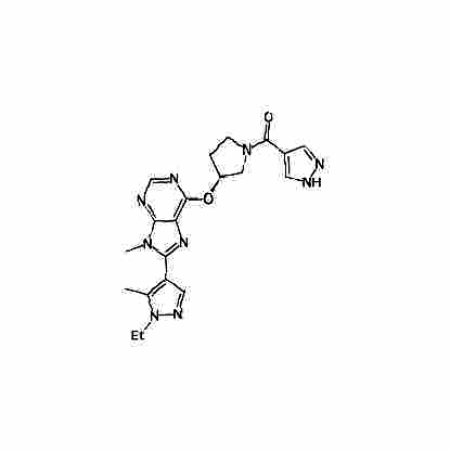 CCn1ncc(-c2nc3c(O[C@H]4CCN(C(=O)c5cn[nH]c5)C4)ncnc3n2C)c1C